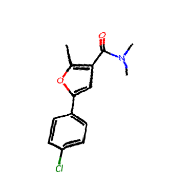 Cc1oc(-c2ccc(Cl)cc2)cc1C(=O)N(C)C